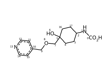 O=C(O)NC1CCC(O)(COCc2ccncc2)CC1